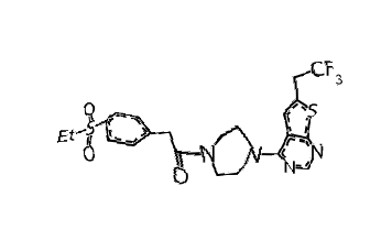 CCS(=O)(=O)c1ccc(CC(=O)N2CCN(c3ncnc4sc(CC(F)(F)F)cc34)CC2)cc1